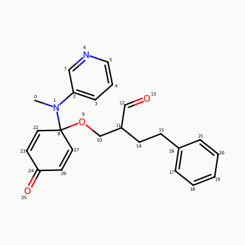 CN(c1cccnc1)C1(OCC(C=O)CCc2ccccc2)C=CC(=O)C=C1